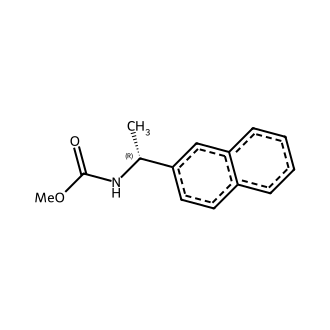 COC(=O)N[C@H](C)c1ccc2ccccc2c1